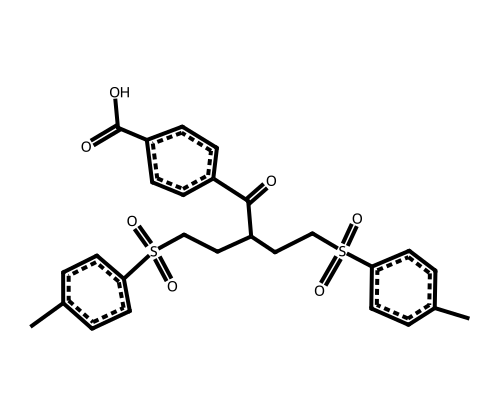 Cc1ccc(S(=O)(=O)CCC(CCS(=O)(=O)c2ccc(C)cc2)C(=O)c2ccc(C(=O)O)cc2)cc1